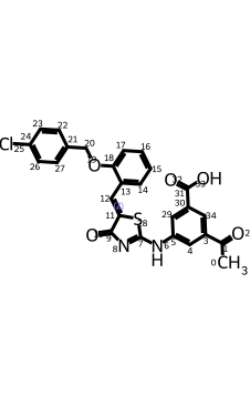 CC(=O)c1cc(NC2=NC(=O)/C(=C/c3ccccc3OCc3ccc(Cl)cc3)S2)cc(C(=O)O)c1